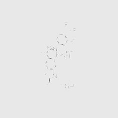 Cc1nnc(N[C@H](C)c2cccc(C(F)F)c2F)c2cc3c(cc12)C(C)(C)C(=O)N3C1CCNC1